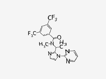 CC(c1nccn1-c1ncccn1)N(C)C(=O)c1cc(C(F)(F)F)cc(C(F)(F)F)c1